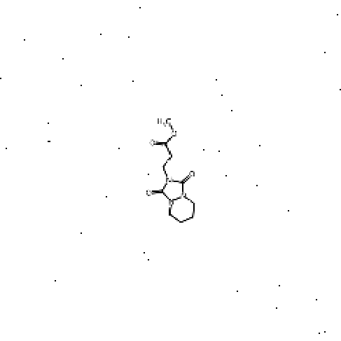 COC(=O)CCn1c(=O)n2n(c1=O)CCCC2